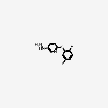 NNc1ccc(Oc2cc(F)ccc2F)nc1